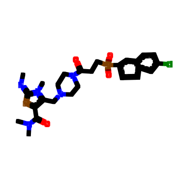 CN=c1sc(C(=O)N(C)C)c(CN2CCN(C(=O)CCS(=O)(=O)c3ccc4cc(Cl)ccc4c3)CC2)n1C